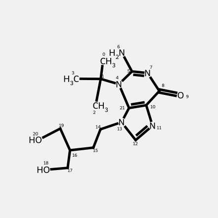 CC(C)(C)n1c(N)nc(=O)c2ncn(CCC(CO)CO)c21